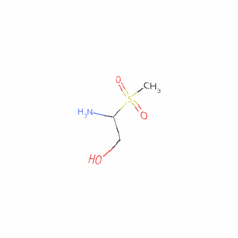 CS(=O)(=O)C(N)CO